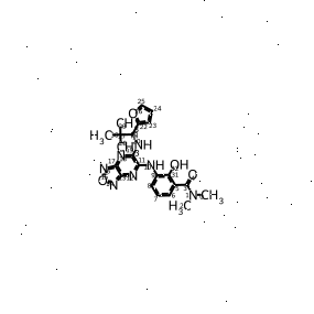 CN(C)C(=O)c1cccc(Nc2nc3nonc3nc2N[C@@H](c2ccco2)C(C)(C)C)c1O